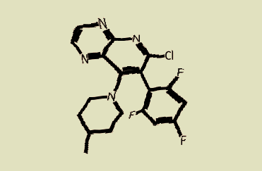 CC1CCN(c2c(-c3c(F)cc(F)cc3F)c(Cl)nc3nccnc23)CC1